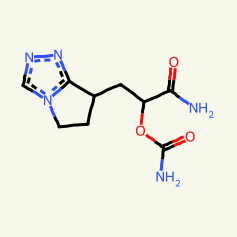 NC(=O)OC(CC1CCn2cnnc21)C(N)=O